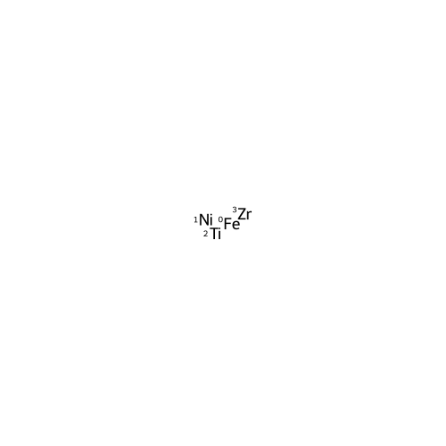 [Fe].[Ni].[Ti].[Zr]